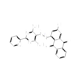 Nc1nc(-c2ccccn2)nc(N)c1/N=N/c1cc(Cl)cc2c1C(=O)c1ccccc1C2=O